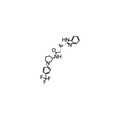 O=C(C[C@@H]1C[C@@H]1c1nc2ccccc2[nH]1)N[C@@H]1CCCN(c2ccc(C(F)(F)F)cc2)C1